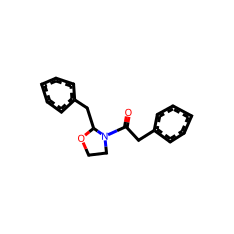 O=C(Cc1ccccc1)N1CCOC1Cc1ccccc1